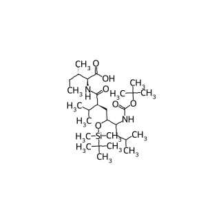 CC[C@H](C)[C@H](NC(=O)[C@@H](CC(O[Si](C)(C)C(C)(C)C)C(CC(C)C)NC(=O)OC(C)(C)C)C(C)C)C(=O)O